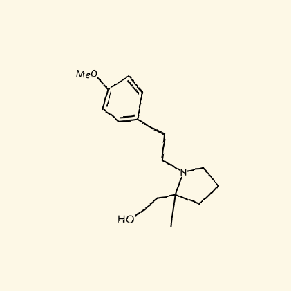 COc1ccc(CCN2CCCC2(C)CO)cc1